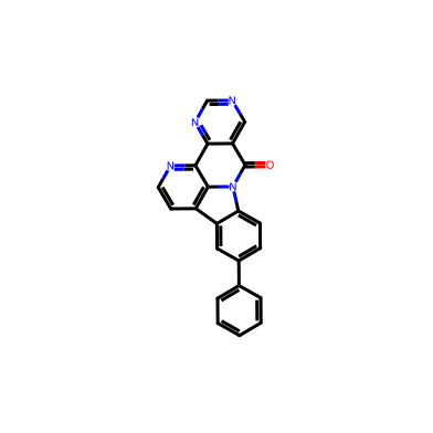 O=c1c2cncnc2c2nccc3c4cc(-c5ccccc5)ccc4n1c32